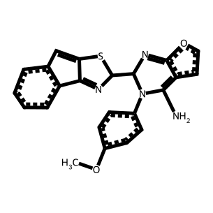 COc1ccc(N2C(N)=c3ccoc3=NC2C2N=C3C(=Cc4ccccc43)S2)cc1